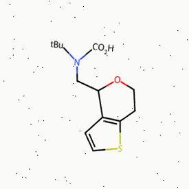 CC(C)(C)N(CC1OCCc2sccc21)C(=O)O